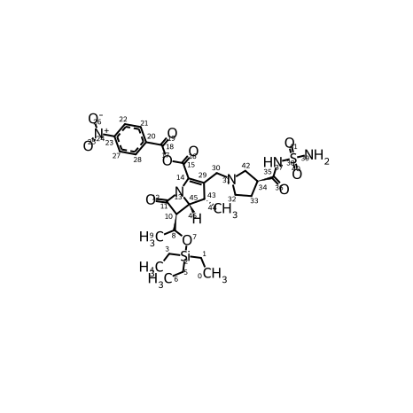 CC[Si](CC)(CC)OC(C)[C@H]1C(=O)N2C(C(=O)OC(=O)c3ccc([N+](=O)[O-])cc3)=C(CN3CC[C@H](C(=O)NS(N)(=O)=O)C3)[C@H](C)[C@H]12